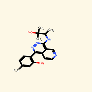 CC(Nc1nnc(-c2ccc(C(F)(F)F)cc2O)c2ccncc12)C(C)(C)O